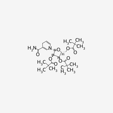 CC(C)(C)C(=O)OC[C@H]1O[C@@H](N2C=CCC(C(N)=O)=C2)[C@H](OC(=O)C(C)(C)C)[C@@H]1OC(=O)C(C)(C)C